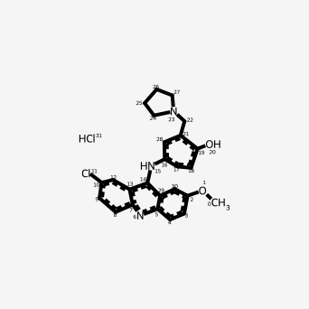 COc1ccc2nc3ccc(Cl)cc3c(Nc3ccc(O)c(CN4CCCC4)c3)c2c1.Cl